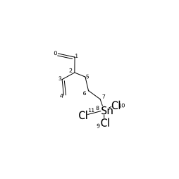 C=CC(C=C)CC[CH2][Sn]([Cl])([Cl])[Cl]